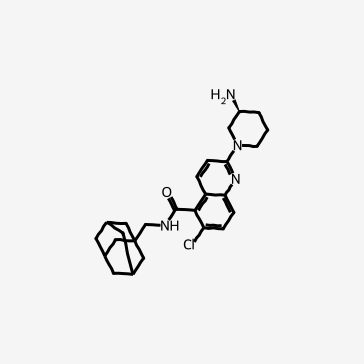 N[C@H]1CCCN(c2ccc3c(C(=O)NCC45CC6CC(CC(C6)C4)C5)c(Cl)ccc3n2)C1